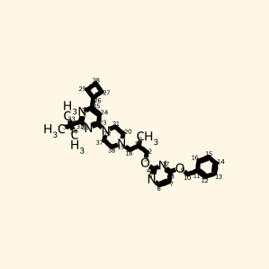 CC(COc1nccc(OCc2ccccc2)n1)CN1CCN(c2cc(C3CCC3)nc(C(C)(C)C)n2)CC1